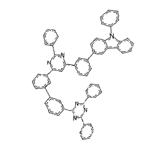 c1ccc(-c2nc(-c3cccc(-c4cccc(-c5nc(-c6ccccc6)nc(-c6ccccc6)n5)c4)c3)cc(-c3cccc(-c4ccc5c(c4)c4ccccc4n5-c4ccccc4)c3)n2)cc1